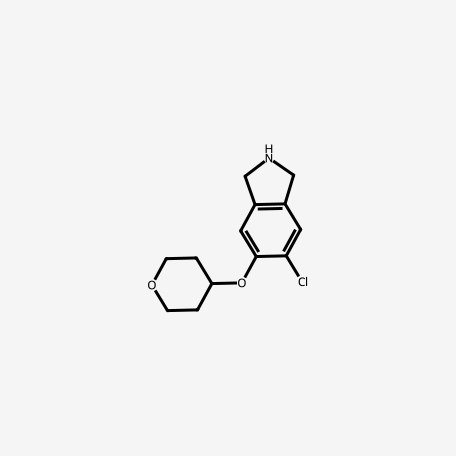 Clc1cc2c(cc1OC1CCOCC1)CNC2